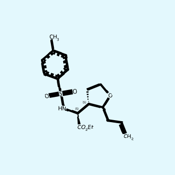 C=CCC1OCC[C@H]1[C@H](NS(=O)(=O)c1ccc(C)cc1)C(=O)OCC